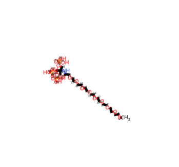 COCCOCCOCCOCCOCCOCCOCCOCCOCC(=O)NC(COP(=O)(O)O)(COP(=O)(O)O)COP(=O)(O)O